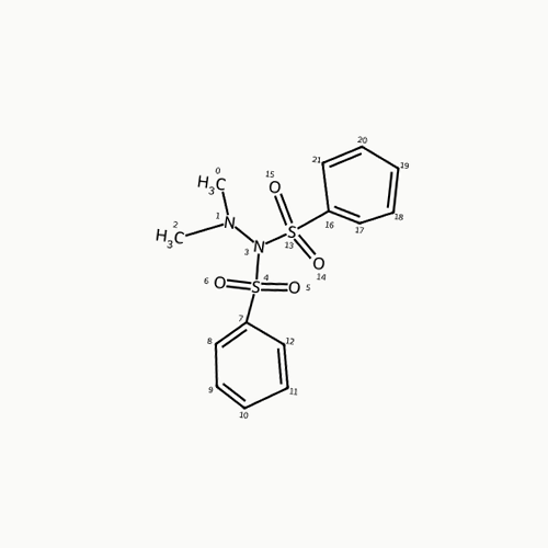 CN(C)N(S(=O)(=O)c1ccccc1)S(=O)(=O)c1ccccc1